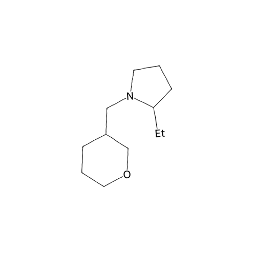 CCC1CCCN1CC1CCCOC1